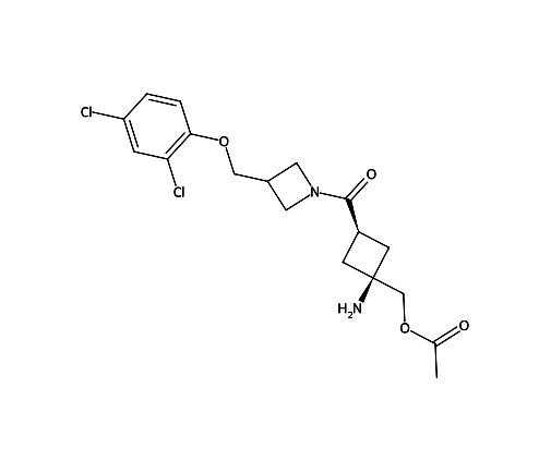 CC(=O)OC[C@]1(N)C[C@@H](C(=O)N2CC(COc3ccc(Cl)cc3Cl)C2)C1